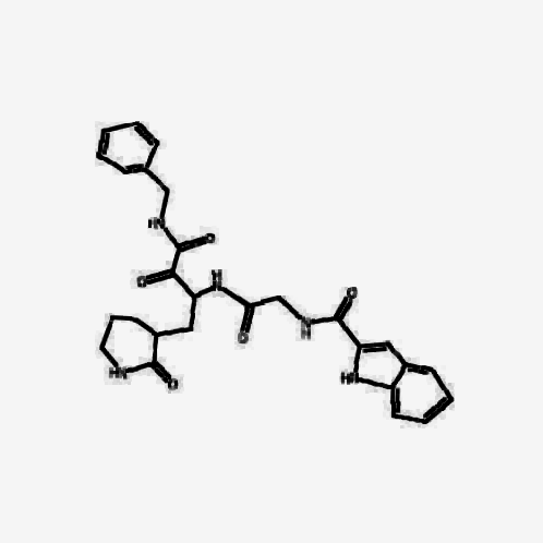 O=C(CNC(=O)c1cc2ccccc2[nH]1)NC(CC1CCCNC1=O)C(=O)C(=O)NCc1ccccc1